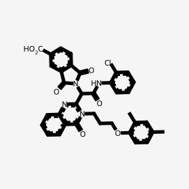 Cc1ccc(OCCCn2c(C(C(=O)Nc3ccccc3Cl)N3C(=O)c4ccc(C(=O)O)cc4C3=O)nc3ccccc3c2=O)c(C)c1